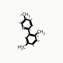 Cc1ccc(-c2cc(C)ccc2C)nc1